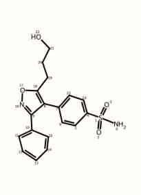 NS(=O)(=O)c1ccc(-c2c(-c3ccccc3)noc2CCCO)cc1